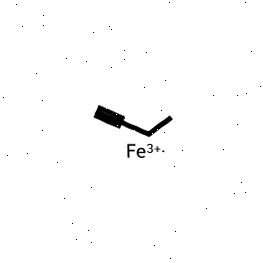 C#CCC.[Fe+3]